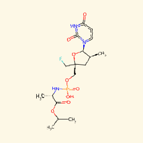 CC(C)OC(=O)[C@H](C)NP(=O)(O)OC[C@]1(CF)C[C@H](C)[C@H](n2ccc(=O)[nH]c2=O)O1